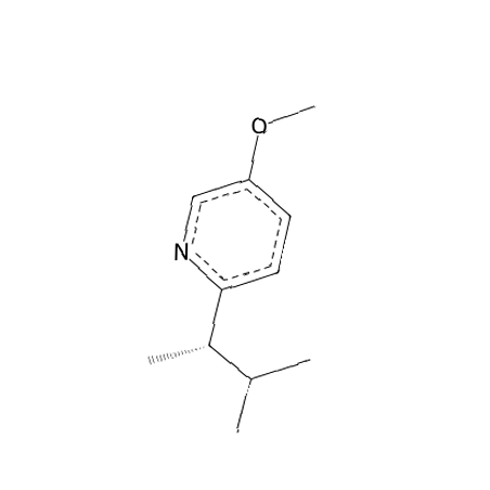 COc1ccc([C@@H](C)C(C)C)nc1